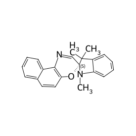 CN1c2ccccc2C(C)(C)[C@]12C=Nc1c(ccc3ccccc13)O2